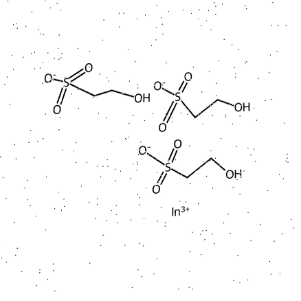 O=S(=O)([O-])CCO.O=S(=O)([O-])CCO.O=S(=O)([O-])CCO.[In+3]